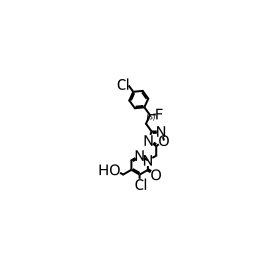 O=c1c(Cl)c(CO)cnn1Cc1nc(C[C@H](F)c2ccc(Cl)cc2)no1